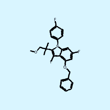 COCC(C)(C)c1c(I)c2c(OCc3ccccc3)cc(F)cc2n1-c1ccc(F)cc1